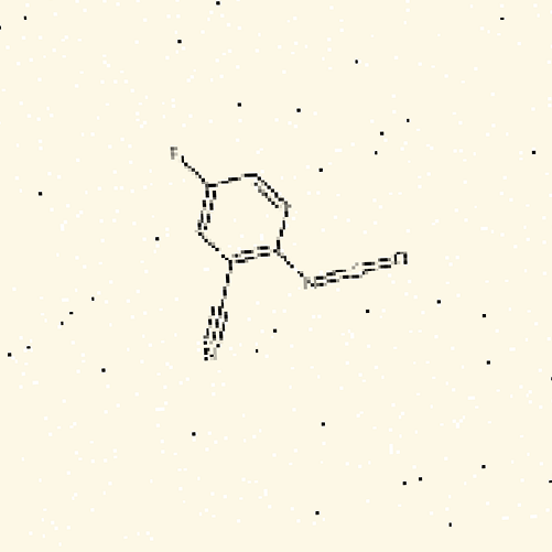 N#Cc1cc(F)ccc1N=C=O